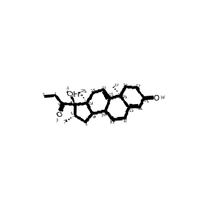 CCC(=O)[C@@]1(O)[C@@H](C)CC2C3CCC4=CC(=O)CC[C@]4(C)C3=CC[C@@]21C